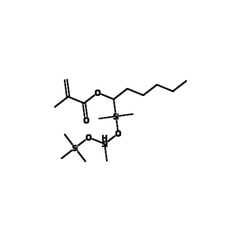 C=C(C)C(=O)OC(CCCCC)[Si](C)(C)O[SiH](C)O[Si](C)(C)C